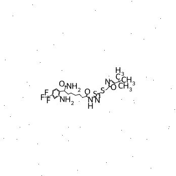 CC(C)(C)c1cnc(CSc2cnc(NC(=O)CCCCCC(C(N)=O)c3ccc(C(F)(F)F)cc3N)s2)o1